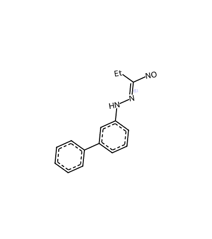 CC/C(N=O)=N\Nc1cccc(-c2ccccc2)c1